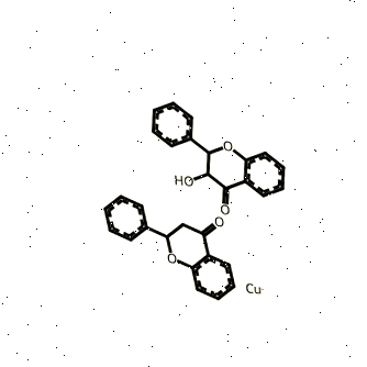 O=C1CC(c2ccccc2)Oc2ccccc21.O=C1c2ccccc2OC(c2ccccc2)C1O.[Cu]